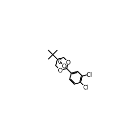 CC(C)(C)C12COC(c3ccc(Cl)c(Cl)c3)(OC1)OC2